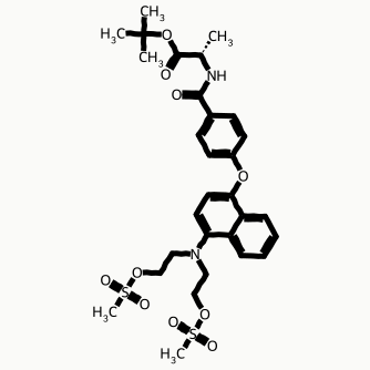 C[C@H](NC(=O)c1ccc(Oc2ccc(N(CCOS(C)(=O)=O)CCOS(C)(=O)=O)c3ccccc23)cc1)C(=O)OC(C)(C)C